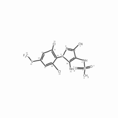 CS(=O)(=O)Nc1c(C#N)nn(-c2c(Cl)cc(SC(F)(F)F)cc2Cl)c1N